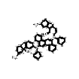 C=Cc1c(/C=C\CN(c2ccccc2)c2cc3c4ccccc4c(N(c4ccccc4)c4ccc5c(c4)C4(C)C=C(C)C=CC4O5)cc3c3ccccc23)oc2ccc(C)cc12